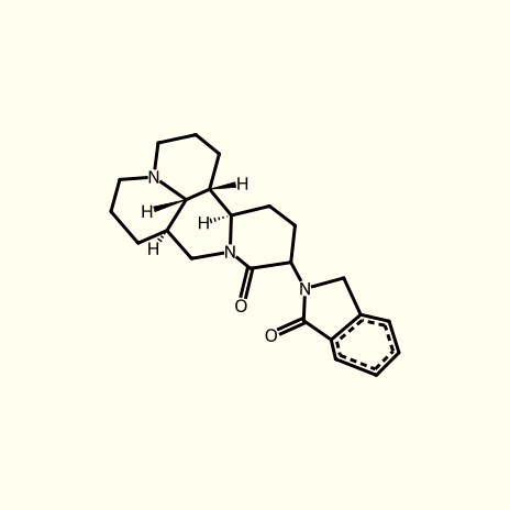 O=C1c2ccccc2CN1C1CC[C@@H]2[C@H]3CCCN4CCC[C@H](CN2C1=O)[C@@H]34